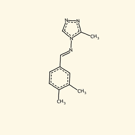 Cc1ccc(C=Nn2cnnc2C)cc1C